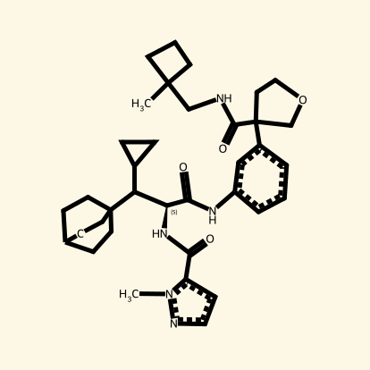 Cn1nccc1C(=O)N[C@H](C(=O)Nc1cccc(C2(C(=O)NCC3(C)CCC3)CCOC2)c1)C(C1CC1)C12CCC(CC1)CC2